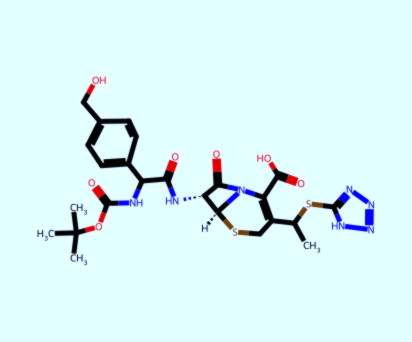 CC(Sc1nnn[nH]1)C1=C(C(=O)O)N2C(=O)[C@@H](NC(=O)C(NC(=O)OC(C)(C)C)c3ccc(CO)cc3)[C@@H]2SC1